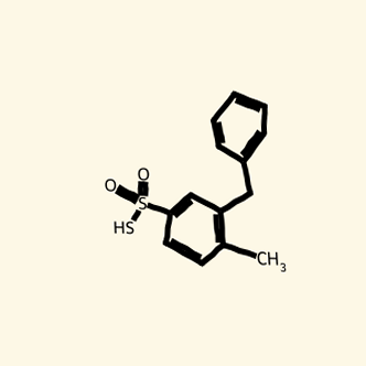 Cc1ccc(S(=O)(=O)S)cc1Cc1ccccc1